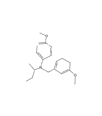 C=C(/C=C\C(=C/C)N(CC1=CCCC(OC)=C1)C(C)CC)OC